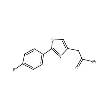 CC(C)C(=O)Cc1csc(-c2ccc(F)cc2)n1